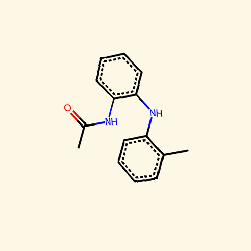 CC(=O)Nc1ccccc1Nc1ccccc1C